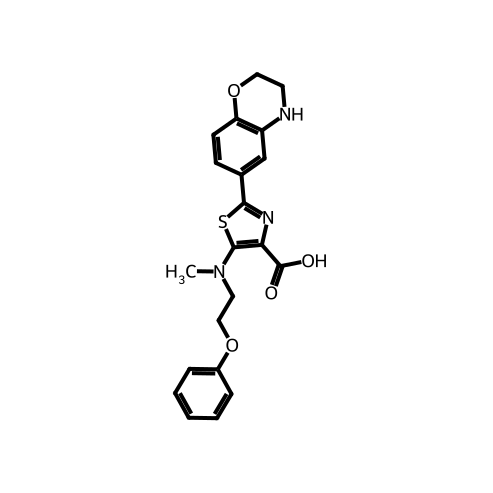 CN(CCOc1ccccc1)c1sc(-c2ccc3c(c2)NCCO3)nc1C(=O)O